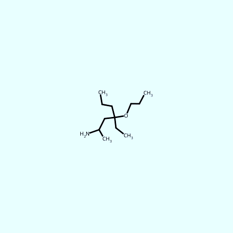 CCCOC(CC)(CCC)CC(C)N